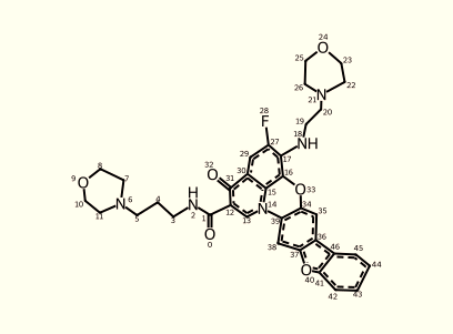 O=C(NCCCN1CCOCC1)c1cn2c3c(c(NCCN4CCOCC4)c(F)cc3c1=O)Oc1cc3c(cc1-2)oc1ccccc13